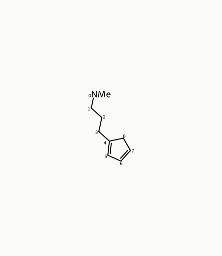 CNCCCC1=CC=CC1